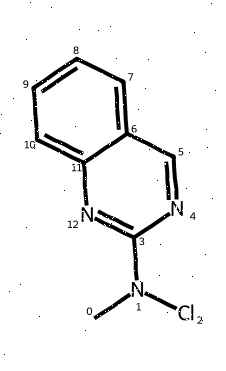 CN(Cl)c1ncc2ccccc2n1